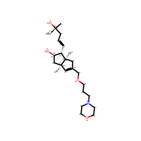 CCCC[C@](C)(O)C/C=C/[C@@H]1[C@H]2CC(COCCCN3CCOCC3)=C[C@H]2C[C@H]1O